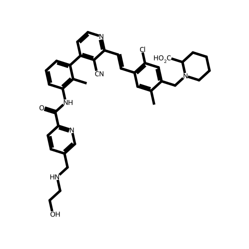 Cc1cc(/C=C/c2nccc(-c3cccc(NC(=O)c4ccc(CNCCO)cn4)c3C)c2C#N)c(Cl)cc1CN1CCCCC1C(=O)O